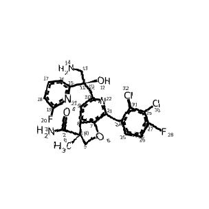 C[C@]1(C(N)=O)COc2c1cc([C@@](O)(CN)c1cccc(F)n1)nc2-c1ccc(F)c(Cl)c1Cl